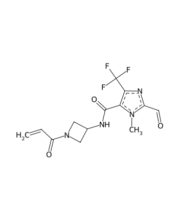 C=CC(=O)N1CC(NC(=O)c2c(C(F)(F)F)nc(C=O)n2C)C1